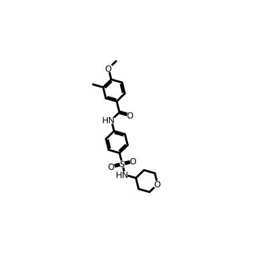 COc1ccc(C(=O)Nc2ccc(S(=O)(=O)NC3CCOCC3)cc2)cc1C